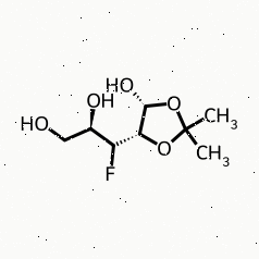 CC1(C)O[C@@H](O)[C@@H](C(F)[C@H](O)CO)O1